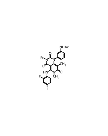 CC(=O)Nc1cccc(-n2c(=O)n(C(C)C)c(=O)c3c(Nc4ccc(I)cc4F)n(C)c(=O)c(C)c32)c1